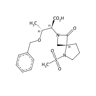 C[C@@H](OCc1ccccc1)[C@@H](C(=O)O)N1C[C@]2(CCCN2S(C)(=O)=O)C1=O